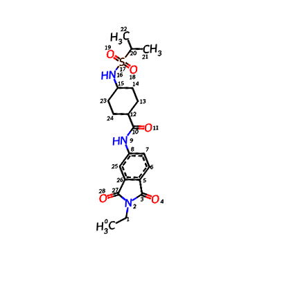 CCN1C(=O)c2ccc(NC(=O)C3CCC(NS(=O)(=O)C(C)C)CC3)cc2C1=O